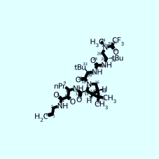 C=CCNC(=O)C(=O)C(CCC)NC(=O)[C@@H]1[C@@H]2[C@H](CN1C(=O)[C@@H](NC(=O)N[C@H](CN(C)C(=O)C(F)(F)F)C(C)(C)C)C(C)(C)C)C2(C)C